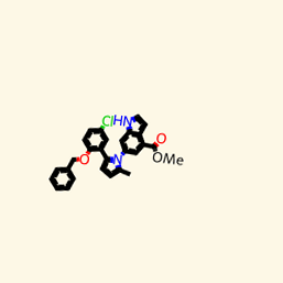 COC(=O)c1cc(-n2c(C)ccc2-c2cc(Cl)ccc2OCc2ccccc2)cc2[nH]ccc12